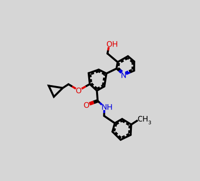 Cc1cccc(CNC(=O)c2cc(-c3ncccc3CO)ccc2OCC2CC2)c1